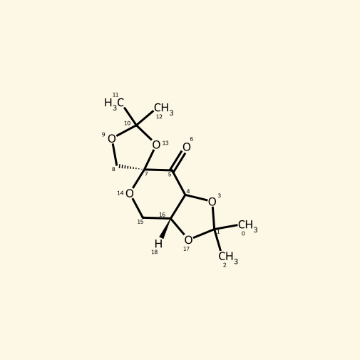 CC1(C)OC2C(=O)[C@@]3(COC(C)(C)O3)OC[C@H]2O1